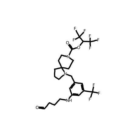 O=CCCCNc1cc(CN2CCCC23CCN(C(=O)OC(C(F)(F)F)C(F)(F)F)CC3)cc(C(F)(F)F)c1